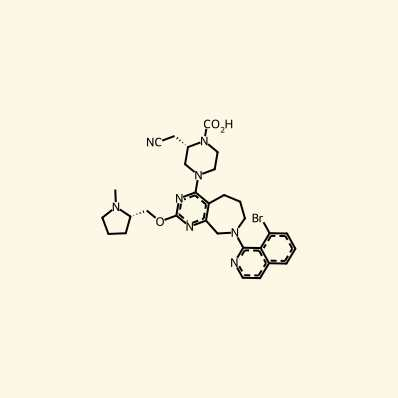 CN1CCC[C@H]1COc1nc2c(c(N3CCN(C(=O)O)[C@@H](CC#N)C3)n1)CCCN(c1nccc3cccc(Br)c13)C2